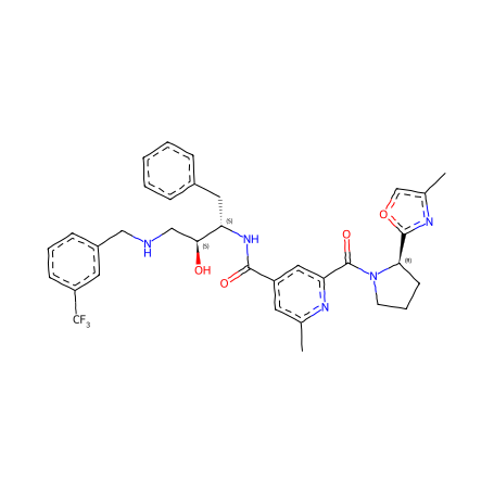 Cc1cc(C(=O)N[C@@H](Cc2ccccc2)[C@@H](O)CNCc2cccc(C(F)(F)F)c2)cc(C(=O)N2CCC[C@@H]2c2nc(C)co2)n1